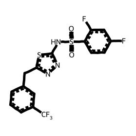 O=S(=O)(Nc1nnc(Cc2cccc(C(F)(F)F)c2)s1)c1ccc(F)cc1F